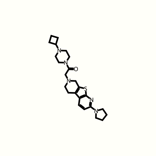 O=C(CN1CCc2c(sc3nc(N4CCCC4)ccc23)C1)N1CCN(C2CCC2)CC1